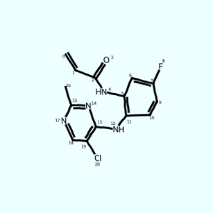 C=CC(=O)Nc1cc(F)ccc1Nc1nc(C)ncc1Cl